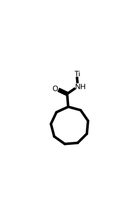 O=C([NH][Ti])C1CCCCCCCC1